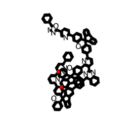 c1ccc(-c2ccc(-c3cccc(-c4ccc5c(c4)Oc4ccccc4C54c5ccccc5-c5cc(-c6ccc(-c7nc(-c8ccc(-c9ccc%10c(c9)Oc9cc(-c%11ccc(-c%12nnc(-c%13ccccc%13)o%12)cn%11)ccc9C%109c%10ccccc%10-c%10ccccc%109)nc8-c8ccc9c(c8)Oc8ccccc8C98c9ccccc9-c9ccccc98)nc8ccccc78)cc6)ccc54)n3)nn2)cc1